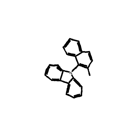 Cc1ccc2ccccc2c1-n1c2ccccc2c2ccccc21